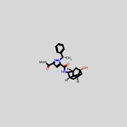 CNC(=O)c1cc(C(=O)NC2[C@H]3C[C@H]4C[C@H]2C[C@](O)(C3)C4)n([C@@H](C)c2ccccc2)n1